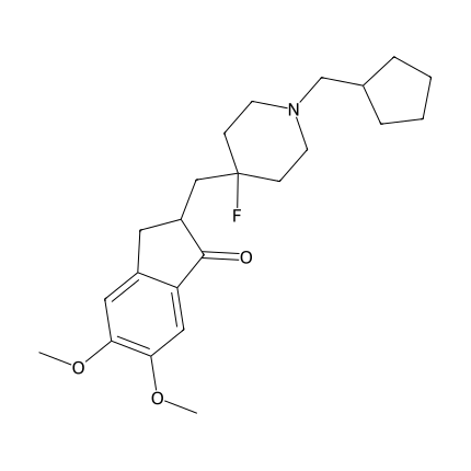 COc1cc2c(cc1OC)C(=O)C(CC1(F)CCN(CC3CCCC3)CC1)C2